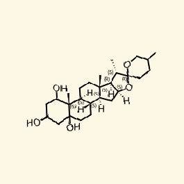 CC1CC[C@@]2(OC1)O[C@H]1C[C@H]3[C@@H]4CCC5(O)CC(O)CC(O)[C@]5(C)[C@H]4CC[C@]3(C)[C@H]1[C@@H]2C